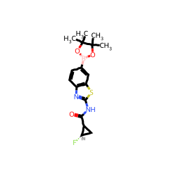 CC1(C)OB(c2ccc3nc(NC(=O)C4C[C@@H]4F)sc3c2)OC1(C)C